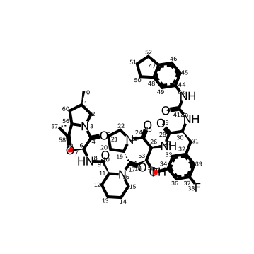 C[C@H]1CN(C(=O)[C@H](C)NC(=O)[C@@H]2CCCCN2C(=O)[C@@H]2CCCN2C(=O)[C@@H](NC(=O)[C@H](Cc2cc(F)cc(F)c2)NC(=O)Nc2ccc3c(c2)CCC3)[C@H](C)O)[C@]2(CC2=O)C1